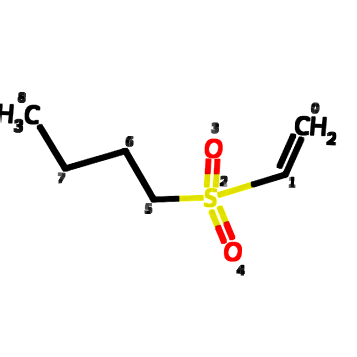 C=CS(=O)(=O)CCCC